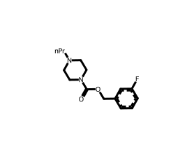 [CH2]CCN1CCN(C(=O)OCc2cccc(F)c2)CC1